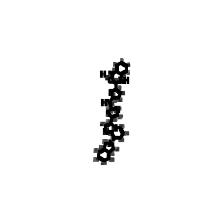 Nc1ccccc1NC(=O)c1ccc(Nc2ncc(-c3cnc4c(N5Cc6ccccc6C5)cccn34)s2)s1